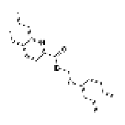 C=C/C=C\C(=C/C=C)OCBC(=O)c1ccc(=C/C)/c(=C\C=C)n1